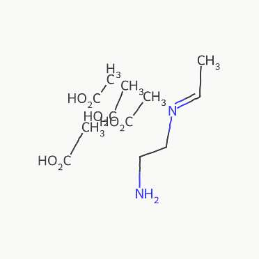 CC(=O)O.CC(=O)O.CC(=O)O.CC(=O)O.CC=NCCN